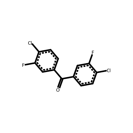 O=C(c1ccc(Cl)c(F)c1)c1ccc(Cl)c(F)c1